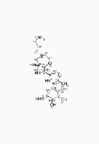 CSC1O[C@H]([C@H](NC(=O)[C@H]2NC[C@@H]3C[C@H](CCCN)CCO[C@H]32)[C@H](C)Cl)C(O)C(O)[C@H]1O